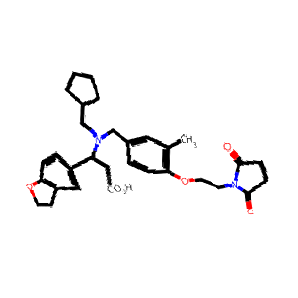 Cc1cc(CN(CC2CCCC2)C(CC(=O)O)c2ccc3c(c2)CCO3)ccc1OCCN1C(=O)CCC1=O